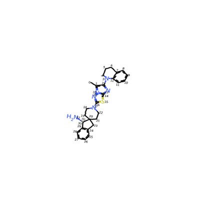 Cc1c(N2CCCc3ccccc32)nc2sc(N3CCC4(CC3)Cc3ccccc3[C@H]4N)nn12